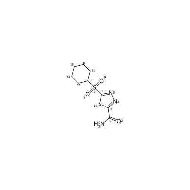 NC(=O)c1nnc(S(=O)(=O)C2CCCCC2)s1